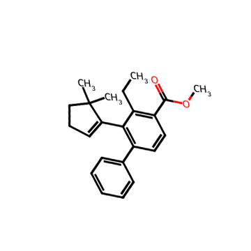 CCc1c(C(=O)OC)ccc(-c2ccccc2)c1C1=CCCC1(C)C